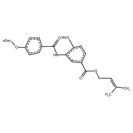 CCCCCCCCCCOc1ccc(C(=O)Nc2cc(C(=O)OCC=C(C)C)ccc2SC)cc1